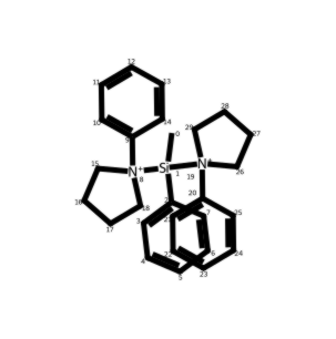 C[Si](c1ccccc1)([N+]1(c2ccccc2)CCCC1)[N+]1(c2ccccc2)CCCC1